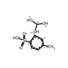 Cc1ccc(S(=O)(=O)O)cc1.OC(O)O